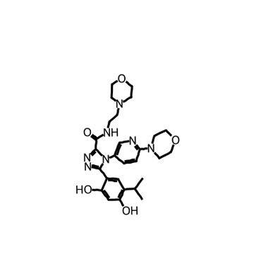 CC(C)c1cc(-c2nnc(C(=O)NCCN3CCOCC3)n2-c2ccc(N3CCOCC3)nc2)c(O)cc1O